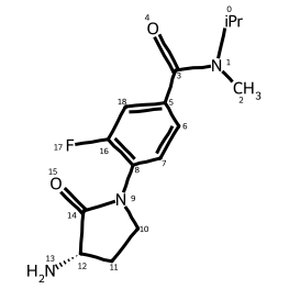 CC(C)N(C)C(=O)c1ccc(N2CC[C@H](N)C2=O)c(F)c1